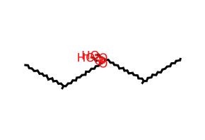 CCCCCCCCCCCCCCCCC(C)CCCCCCCCCCCCCCCC(OCCO)OC(CCCCCCCCCCCCCCCC(C)CCCCCCCCCCCCCCCC)OCCO